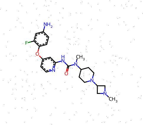 CN1CC(N2CCC(N(C)C(=O)Nc3cc(Oc4ccc(N)cc4F)ccn3)CC2)C1